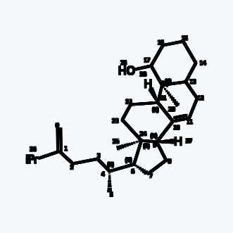 C=C(CC[C@@H](C)[C@H]1CC[C@H]2C3=CCC4CCCC(O)[C@]4(C)[C@H]3CC[C@]12C)C(C)C